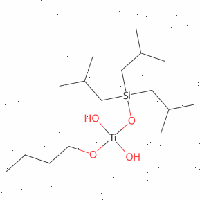 CCCC[O][Ti]([OH])([OH])[O][Si](CC(C)C)(CC(C)C)CC(C)C